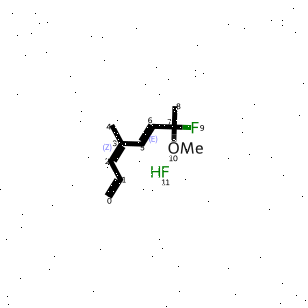 C=C/C=C(C)\C=C\C(C)(F)OC.F